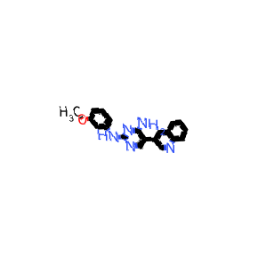 COc1cccc(Nc2ncc(-c3cnc4ccccc4c3)c(N)n2)c1